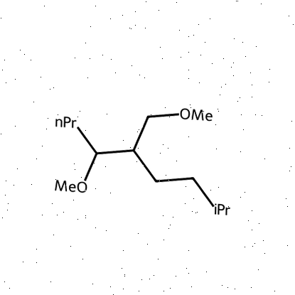 CCCC(OC)C(CCC(C)C)COC